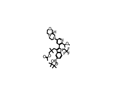 COC(C)c1ncc(N2CCN3CCOC[C@@H]3C2)cc1-c1c(CC(C)(C)COC(C)=O)c2cc(B3OC(C)(C)C(C)(C)O3)ccc2n1CC(F)(F)F